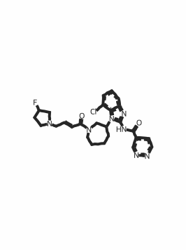 O=C(Nc1nc2cccc(Cl)c2n1C1CCCCN(C(=O)C=CCN2CCC(F)C2)C1)c1ccnnc1